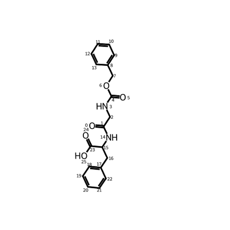 O=C(CNC(=O)OCc1ccccc1)NC(Cc1ccccc1)C(=O)O